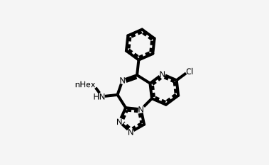 CCCCCCNC1N=C(c2ccccc2)c2nc(Cl)ccc2-n2cnnc21